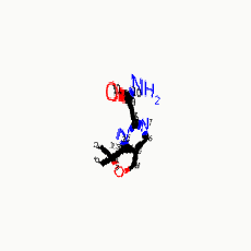 CC1(C)OCc2cnc(C(N)=O)nc21